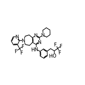 OC(Cc1cccc(Nc2nc(N3CCCCC3)nc3c2CCN(c2ncccc2C(F)(F)F)CC3)c1)C(F)(F)F